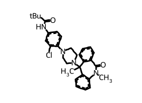 CN1C(=O)c2ccccc2C(C)(N2CCN(c3ccc(NC(=O)C(C)(C)C)cc3Cl)CC2)c2ccccc21